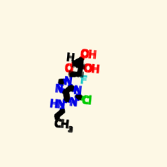 CCCNc1nc(Cl)nc2c1ncn2[C@@H]1O[C@@H]2C(O)[C@]2(O)[C@@H]1F